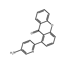 Nc1ccc(-c2cccc3oc4ccccc4c(=O)c23)nc1